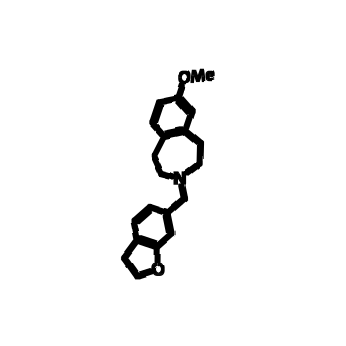 COc1ccc2c(c1)CCN(Cc1ccc3c(c1)OCC3)CC2